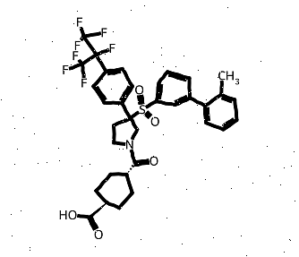 Cc1ccccc1-c1cccc(S(=O)(=O)C2(c3ccc(C(F)(C(F)(F)F)C(F)(F)F)cc3)CCN(C(=O)[C@H]3CC[C@H](C(=O)O)CC3)C2)c1